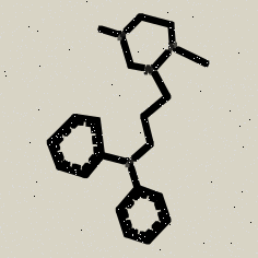 CN1CC[N](C)[Al]([CH2]CCN(c2ccccc2)c2ccccc2)[CH2]1